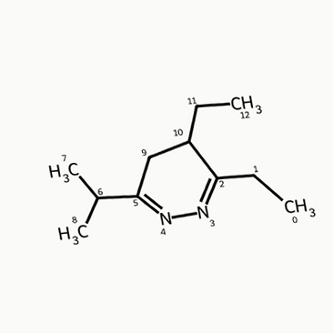 CCC1=NN=C(C(C)C)CC1CC